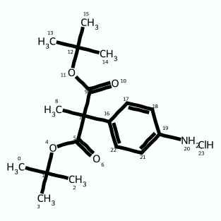 CC(C)(C)OC(=O)C(C)(C(=O)OC(C)(C)C)c1ccc(N)cc1.Cl